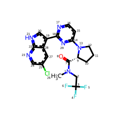 CN(CC(F)(F)F)C(=O)[C@H]1CCCN1c1ccnc(-c2c[nH]c3ncc(Cl)cc23)n1